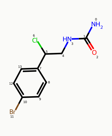 NC(=O)NCC(Cl)c1ccc(Br)cc1